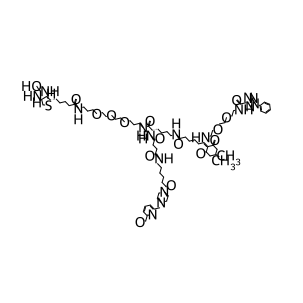 CC1(C)CC(=O)C(=C(CCCCC(=O)NCCCC[C@H](NC(=O)CCC(=O)NCCCCCC(=O)N2CCN(Cc3cccc(C=O)n3)CC2)C(=O)NCCCOCCOCCOCCCNC(=O)CCCC[C@@H]2SC[C@@H]3NC(O)N[C@@H]32)NCCOCCOCCNC(=O)c2nnn(-c3ccccc3)n2)C(=O)C1